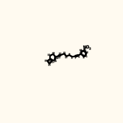 O=[N+]([O-])c1cccc(C#CCCCCC#CC2=CC3=C(CC2)CC3)c1